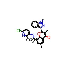 Cc1cc([C@@H](C)Nc2ccc(Cl)nc2C(=O)O)c2oc(-c3nn(C)c4ccccc34)c(C)c(=O)c2c1